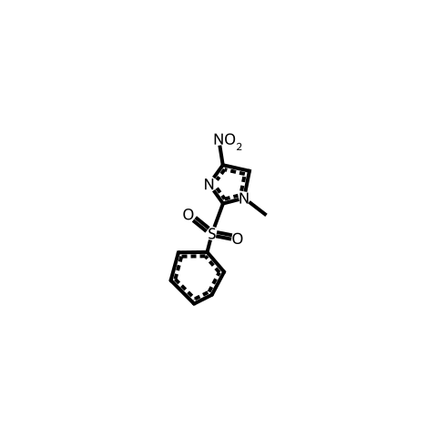 Cn1cc([N+](=O)[O-])nc1S(=O)(=O)c1ccccc1